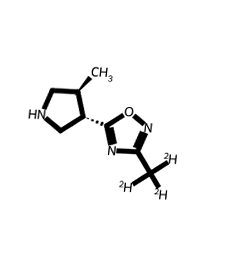 [2H]C([2H])([2H])c1noc([C@@H]2CNC[C@H]2C)n1